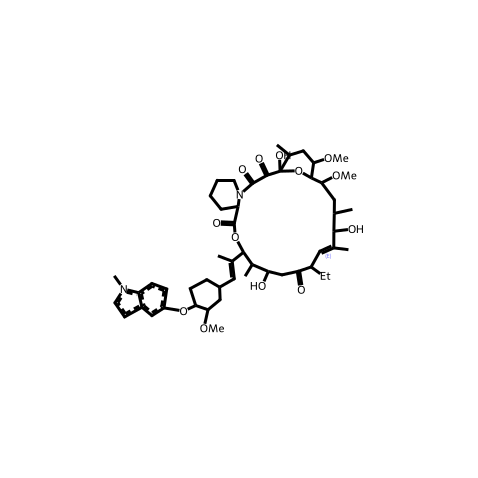 CCC1/C=C(\C)C(O)C(C)CC(OC)C2OC(O)(C(=O)C(=O)N3CCCCC3C(=O)OC(C(C)=CC3CCC(Oc4ccc5c(ccn5C)c4)C(OC)C3)C(C)C(O)CC1=O)C(C)CC2OC